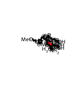 COCCCOc1cc(CC(CC(NC(=O)OCCCCON(O)O)C(CC(C(=O)NCC(C)(C)C(N)=O)C(C)C)OC(=O)OCCCCON(O)O)C(C)C)ccc1OC